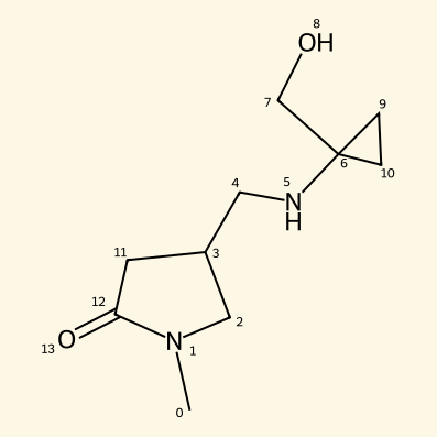 CN1CC(CNC2(CO)CC2)CC1=O